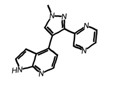 Cn1cc(-c2ccnc3[nH]ccc23)c(-c2cnccn2)n1